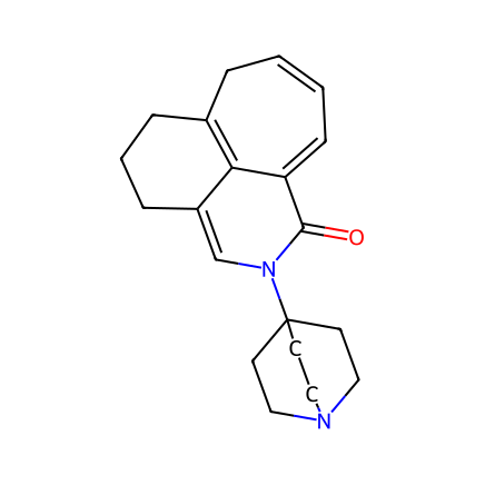 O=c1c2c3c(cn1C14CCN(CC1)CC4)CCCC=3CC=CC=2